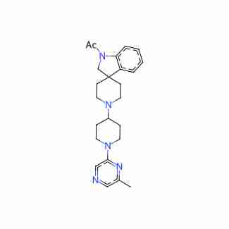 CC(=O)N1CC2(CCN(C3CCN(c4cncc(C)n4)CC3)CC2)c2ccccc21